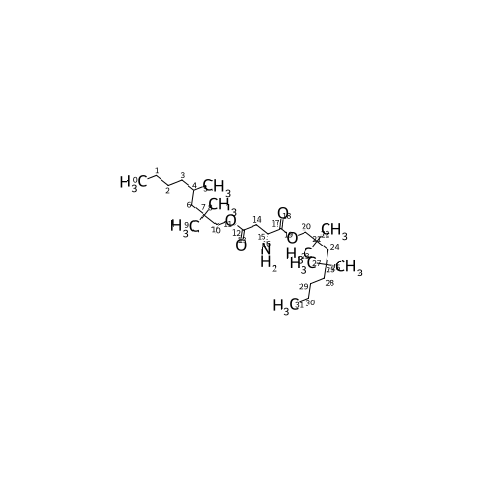 CCCCC(C)CC(C)(C)COC(=O)C[C@@H](N)C(=O)OCC(C)(C)CC(C)(C)CCCC